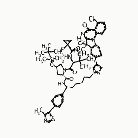 Cc1ncsc1-c1ccc([C@H](CCCCCn2cc(-c3ccc4c(c3)C(C)(C)c3nc(=O)c5c(Cl)cccc5n3-4)cn2)NC(=O)[C@@H]2C[C@@H](O[Si](C)(C)C(C)(C)C)CN2C(=O)[C@@H](NC(=O)C2(F)CC2)C(C)(C)C)cc1